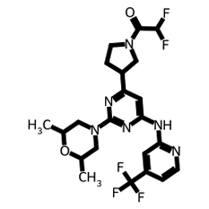 CC1CN(c2nc(Nc3cc(C(F)(F)F)ccn3)cc(C3CCN(C(=O)C(F)F)C3)n2)CC(C)O1